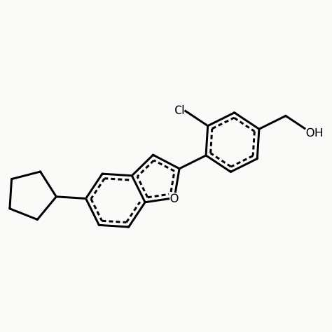 OCc1ccc(-c2cc3cc(C4CCCC4)ccc3o2)c(Cl)c1